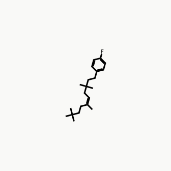 CC(=CCC(C)(C)CCc1ccc(F)cc1)CCC(C)(C)C